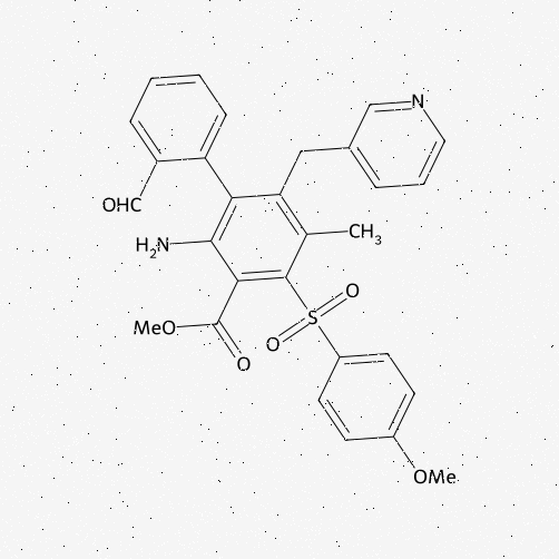 COC(=O)c1c(N)c(-c2ccccc2C=O)c(Cc2cccnc2)c(C)c1S(=O)(=O)c1ccc(OC)cc1